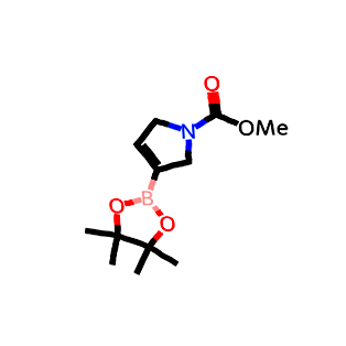 COC(=O)N1CC=C(B2OC(C)(C)C(C)(C)O2)C1